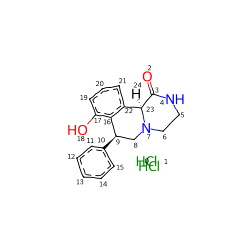 Cl.Cl.O=C1NCCN2C[C@@H](c3ccccc3)c3c(O)cccc3[C@@H]12